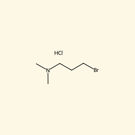 CN(C)CCCBr.Cl